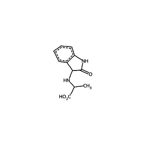 CC(NC1C(=O)Nc2ccccc21)C(=O)O